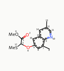 COC(=O)C(Oc1cc(C)c2ncc(C)cc2c1)SC